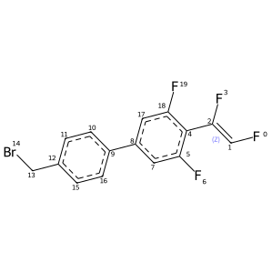 F/C=C(\F)c1c(F)cc(-c2ccc(CBr)cc2)cc1F